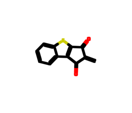 C=C1C(=O)c2sc3ccccc3c2C1=O